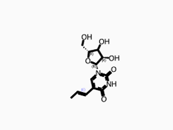 C/C=C/c1cn([C@@H]2O[C@H](CO)C(O)[C@H]2O)c(=O)[nH]c1=O